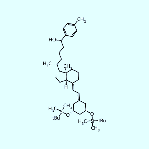 Cc1ccc(C(O)CCC[C@@H](C)[C@H]2CC[C@H]3/C(=C/C=C4C[C@@H](O[Si](C)(C)C(C)(C)C)C[C@H](O[Si](C)(C)C(C)(C)C)C4)CCC[C@]23C)cc1